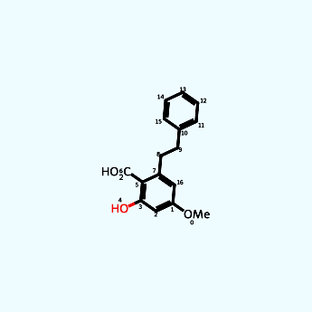 COc1cc(O)c(C(=O)O)c(CCc2ccccc2)c1